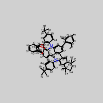 Cc1cc(C)c(-c2cc3c4c(c2)N(c2ccc(C(C)(C)C)cc2-c2ccccc2)c2c(ccc5c2oc2ccccc25)B4N(c2ccc(C(C)(C)C)cc2)c2cc4c(cc2-3)C(C)(C)CCC4(C)C)c(C)c1